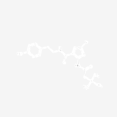 CC(C)(C)OC(=O)Nc1sc(Br)cc1C(=O)NCCc1ccc(O)cc1